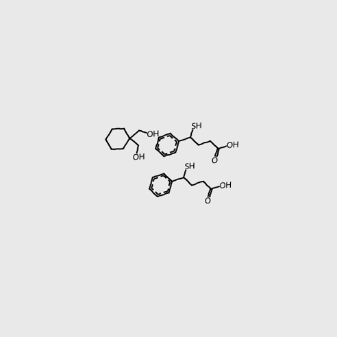 O=C(O)CCC(S)c1ccccc1.O=C(O)CCC(S)c1ccccc1.OCC1(CO)CCCCC1